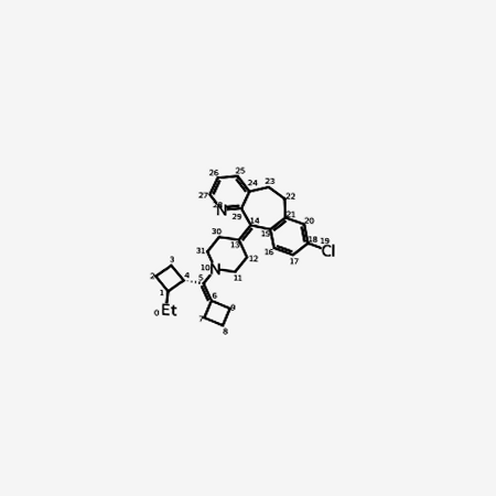 CCC1CC[C@@H]1C(=C1CCC1)N1CCC(=C2c3ccc(Cl)cc3CCc3cccnc32)CC1